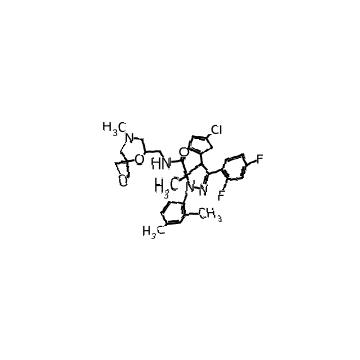 Cc1ccc(N2N=C(c3ccc(F)cc3F)C(C3=CC=C(Cl)C3)C2(C)C(=O)NCC2CN(C)CC3(COC3)O2)c(C)c1